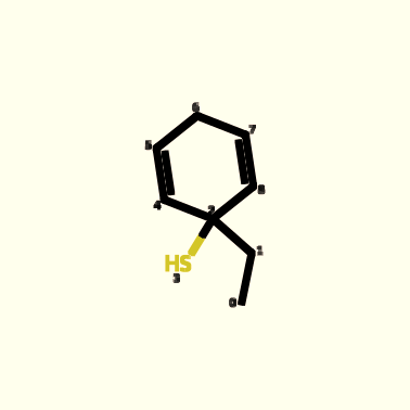 CCC1(S)C=CCC=C1